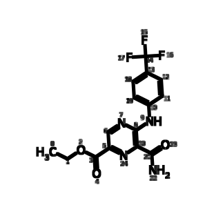 CCOC(=O)c1cnc(Nc2ccc(C(F)(F)F)cc2)c(C(N)=O)n1